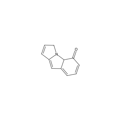 O=C1C=CC=C2C=C3C=CCN3C12